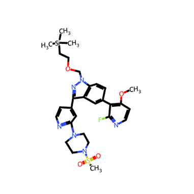 COc1ccnc(F)c1-c1ccc2c(c1)c(-c1ccnc(N3CCN(S(C)(=O)=O)CC3)c1)nn2COCC[Si](C)(C)C